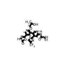 CCNC(=O)Nc1cc(-c2nc(C(F)(F)F)cs2)c(-c2cc(-c3n[nH]c(=O)o3)cnc2OC[C@@H](C)O)cn1